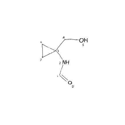 O=CNC1(CO)CC1